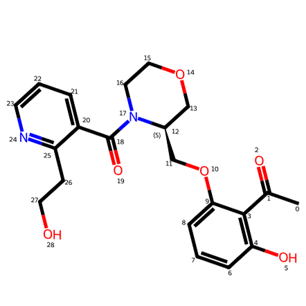 CC(=O)c1c(O)cccc1OC[C@@H]1COCCN1C(=O)c1cccnc1CCO